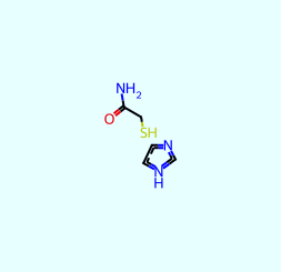 NC(=O)CS.c1c[nH]cn1